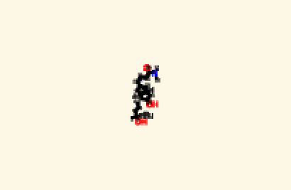 CCCC[C@](C)(O)C/C=C/[C@@H]1[C@H]2CC(/C=C\CC(=O)N(C)C)=C[C@H]2C[C@H]1O